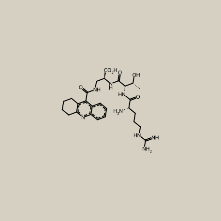 C[C@@H](O)[C@H](NC(=O)[C@@H](N)CCCNC(=N)N)C(=O)N[C@@H](CNC(=O)c1c2c(nc3ccccc13)CCCC2)C(=O)O